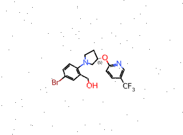 OCc1cc(Br)ccc1N1CC[C@H](Oc2ccc(C(F)(F)F)cn2)C1